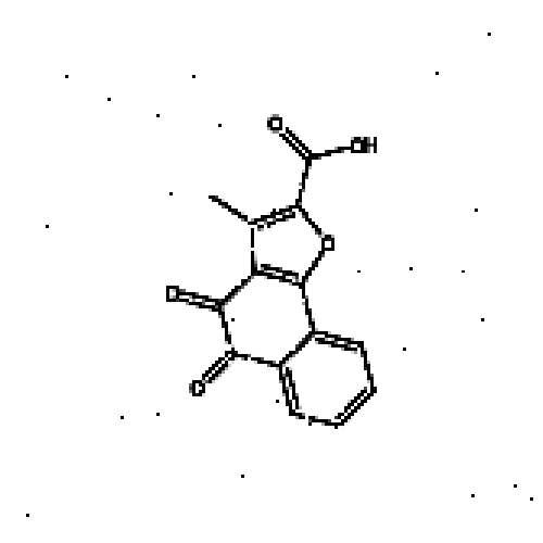 Cc1c(C(=O)O)oc2c1C(=O)C(=O)c1ccccc1-2